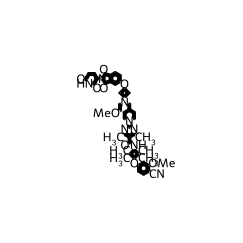 COCCN(CC1CCN(c2nc(C)c(C(=O)NC3C(C)(C)C(Oc4ccc(C#N)c(OC)c4)C3(C)C)c(C)n2)CC1)C1CC(Oc2ccc3c(c2)C(=O)N([C@@H]2CCC(=O)NC2=O)C3=O)C1